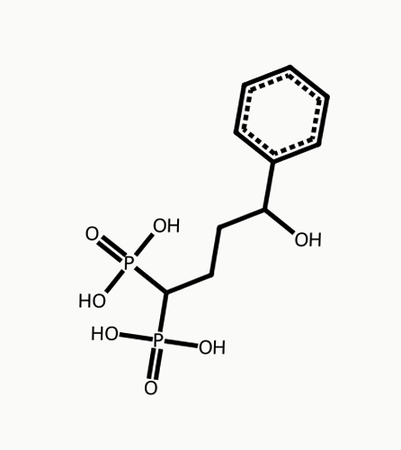 O=P(O)(O)C(CCC(O)c1ccccc1)P(=O)(O)O